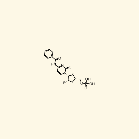 O=C(Nc1ccn([C@@H]2S[C@H](COP(=O)(O)O)C[C@@H]2F)c(=O)n1)c1ccccc1